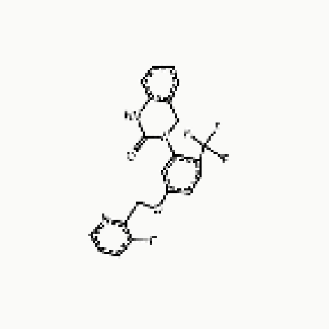 O=C1Nc2ccccc2CN1c1cc(OCc2ncccc2F)ccc1C(F)(F)F